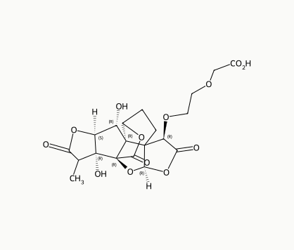 CC1C(=O)O[C@H]2[C@H](O)[C@@]34C5CCC36[C@@H](OC(=O)[C@@H]6OCCOCC(=O)O)O[C@@]4(C(=O)O5)[C@@]12O